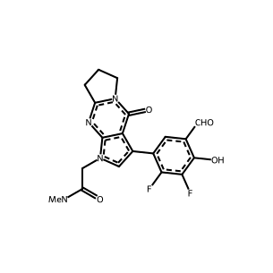 CNC(=O)Cn1cc(-c2cc(C=O)c(O)c(F)c2F)c2c(=O)n3c(nc21)CCC3